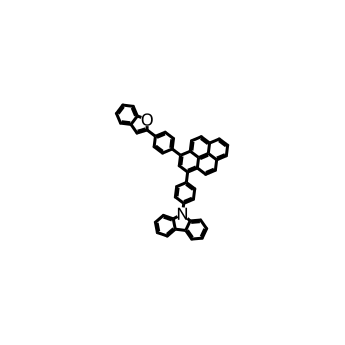 c1ccc2oc(-c3ccc(-c4cc(-c5ccc(-n6c7ccccc7c7ccccc76)cc5)c5ccc6cccc7ccc4c5c76)cc3)cc2c1